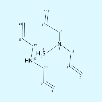 C=CCN([SiH3])CC=C.C=CCNCC=C